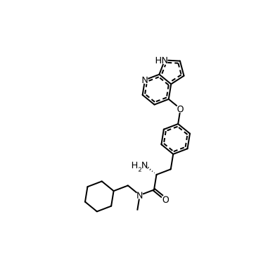 CN(CC1CCCCC1)C(=O)[C@H](N)Cc1ccc(Oc2ccnc3[nH]ccc23)cc1